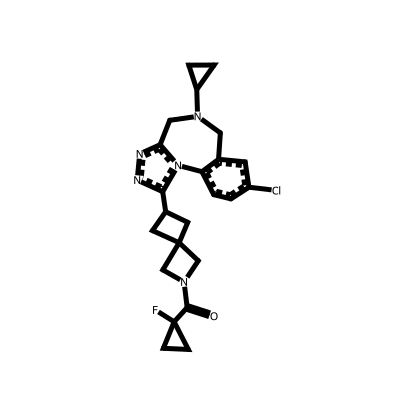 O=C(N1CC2(CC(c3nnc4n3-c3ccc(Cl)cc3CN(C3CC3)C4)C2)C1)C1(F)CC1